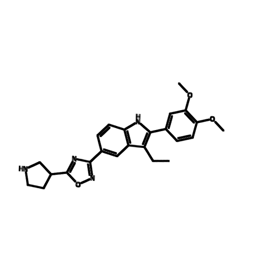 CCc1c(-c2ccc(OC)c(OC)c2)[nH]c2ccc(-c3noc(C4CCNC4)n3)cc12